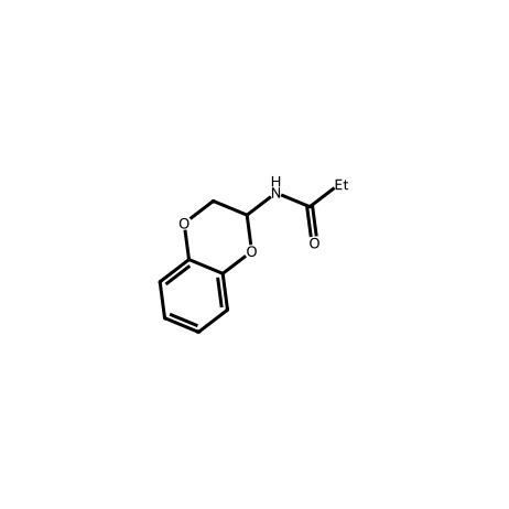 CCC(=O)NC1COc2ccccc2O1